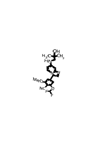 COc1cc(-c2cnc3cc(NCC(C)(C)O)ccn23)cc(OC(F)F)c1C#N